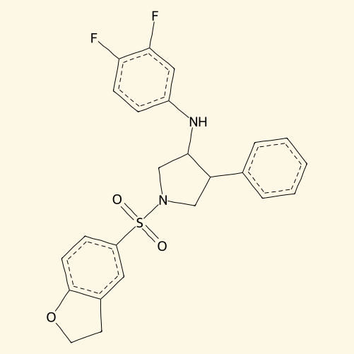 O=S(=O)(c1ccc2c(c1)CCO2)N1CC(Nc2ccc(F)c(F)c2)C(c2ccccc2)C1